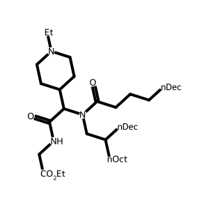 CCCCCCCCCCCCCC(=O)N(CC(CCCCCCCC)CCCCCCCCCC)C(C(=O)NCC(=O)OCC)C1CCN(CC)CC1